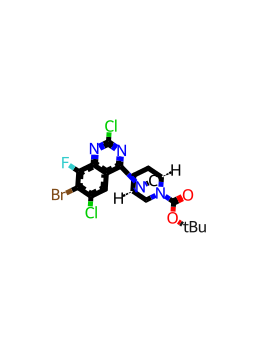 CC(C)(C)OC(=O)N1C[C@H]2CC[C@@H]1CN2c1nc(Cl)nc2c(F)c(Br)c(Cl)cc12